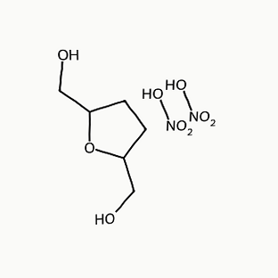 O=[N+]([O-])O.O=[N+]([O-])O.OCC1CCC(CO)O1